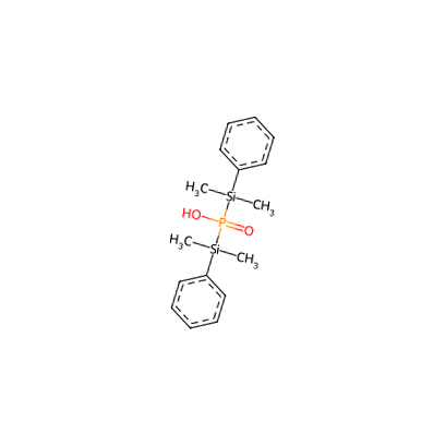 C[Si](C)(c1ccccc1)P(=O)(O)[Si](C)(C)c1ccccc1